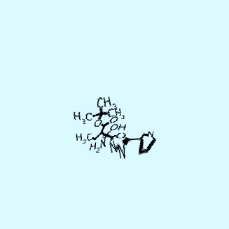 CCC(C(=O)OC(C)(C)C)[C@](N)(O)c1nnc(-c2cccnc2)o1